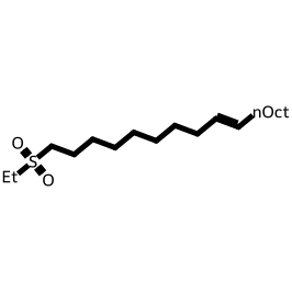 CCCCCCCCC=CCCCCCCCCS(=O)(=O)CC